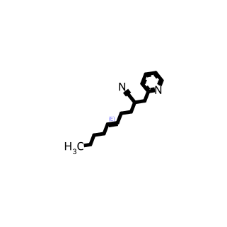 CCCC/C=C/CCC(C#N)Cc1ccccn1